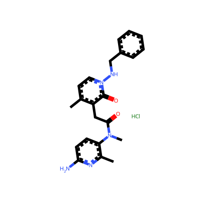 Cc1ccn(NCc2ccccc2)c(=O)c1CC(=O)N(C)c1ccc(N)nc1C.Cl